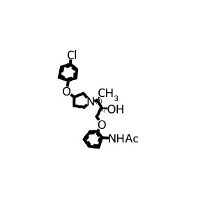 CC(=O)Nc1ccccc1OC[C@H](O)[C@@H](C)N1CCC(Oc2ccc(Cl)cc2)C1